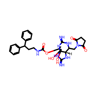 N=C1N[C@H]2C(CN3C(=O)CCC3=O)NC(=N)N3CC(OC(=O)NCCC(c4ccccc4)c4ccccc4)C(O)(O)[C@]23N1